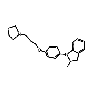 CC1Cc2ccccc2N1c1ccc(OCCCN2CCCC2)cc1